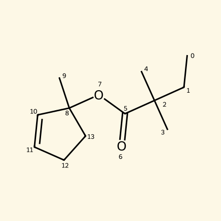 CCC(C)(C)C(=O)OC1(C)C=CCC1